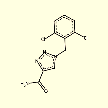 NC(=O)c1cn(Cc2c(Cl)cccc2Cl)nn1